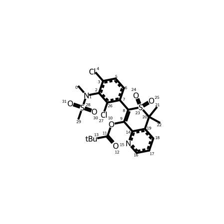 CN(c1c(Cl)ccc(C2=C(OC(=O)C(C)(C)C)c3ncccc3C(C)(C)S2(=O)=O)c1Cl)S(C)(=O)=O